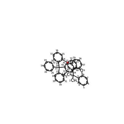 CC1(C)c2ccccc2Oc2ccc(-c3ccccc3C3(c4ccccc4)c4ccccc4-c4cc5ccccc5cc43)cc21